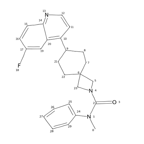 CN(C(=O)N1CC2(CCC(c3ccnc4ccc(F)cc34)CC2)C1)c1ccccc1